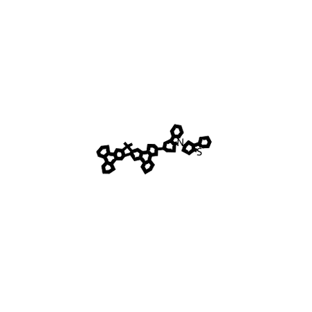 CC1(C)c2cc3c4ccccc4c4ccccc4c3cc2-c2cc3c4ccccc4c4cc(-c5ccc6c(c5)c5ccccc5n6-c5ccc6sc7ccccc7c6c5)ccc4c3cc21